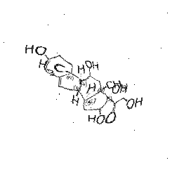 C[C@]12CCC(O)=CC1=CC[C@@H]1[C@@H]2C(O)C[C@@]2(C)[C@H]1CC(O)[C@]2(O)C(=O)CO